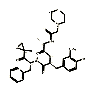 COc1ccc(C[C@H](NC(=O)[C@H](C)NC(=O)CN2CCOCC2)C(=O)N[C@@H](Cc2ccccc2)C(=O)[C@@]2(C)CO2)cc1OC